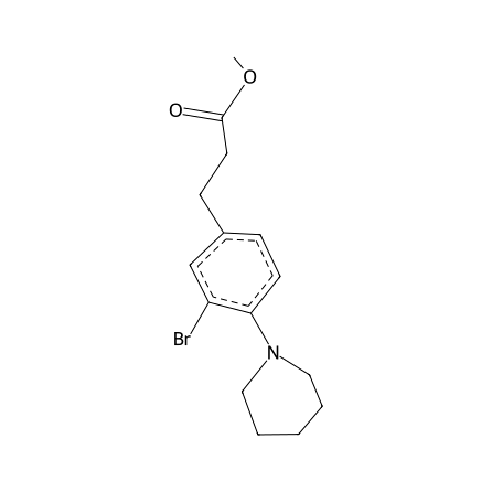 COC(=O)CCc1ccc(N2CCCCC2)c(Br)c1